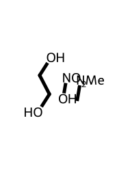 CNC.O=[N+]([O-])O.OCCO